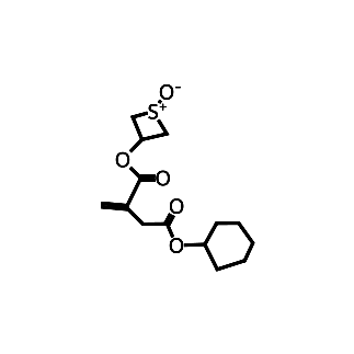 C=C(CC(=O)OC1CCCCC1)C(=O)OC1C[S+]([O-])C1